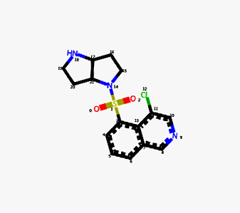 O=S(=O)(c1cccc2cncc(Cl)c12)N1CCC2NCCC21